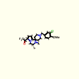 COc1ccc(CN2CCC3(CC2)c2ccc(C(=O)C(F)(F)F)n2C[C@@H](C)N3C)cc1Cl